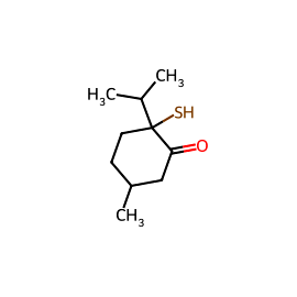 CC1CCC(S)(C(C)C)C(=O)C1